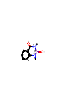 CN1C(=O)c2ccccc2N(C)[P]1=O